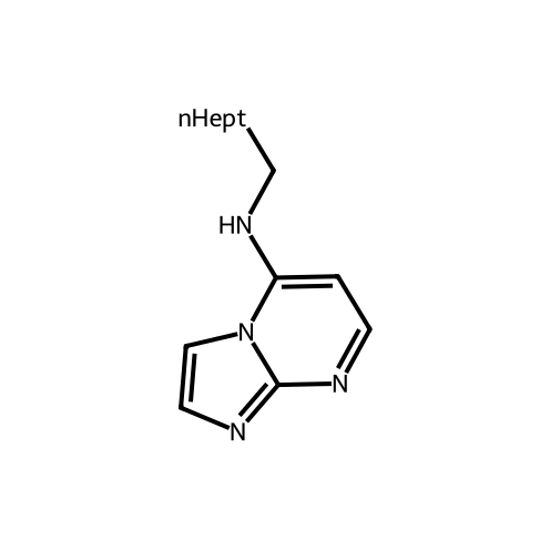 CCCCCCCCNc1ccnc2nccn12